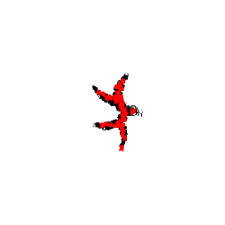 CCCCOc1ccc(-c2ccc3c(c2)c2cc(-c4ccc(OCCCC)cc4)ccc2n3-c2ccc(-c3cc(C(=O)O)cc(-c4ccc(-n5c6ccc(-c7ccc(OCCCC)cc7)cc6c6cc(-c7ccc(OCCCC)cc7)ccc65)cc4)c3)cc2)cc1